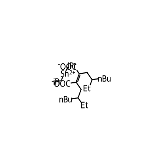 CCCCC(CC)C/C(C(=O)[O-])=C(\CC(CC)CCCC)C(=O)[O-].C[CH](C)[Sn+2][CH](C)C